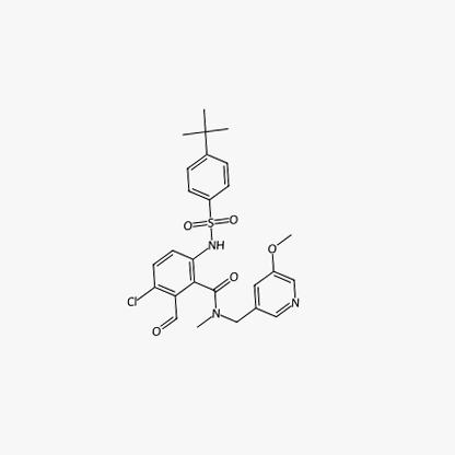 COc1cncc(CN(C)C(=O)c2c(NS(=O)(=O)c3ccc(C(C)(C)C)cc3)ccc(Cl)c2C=O)c1